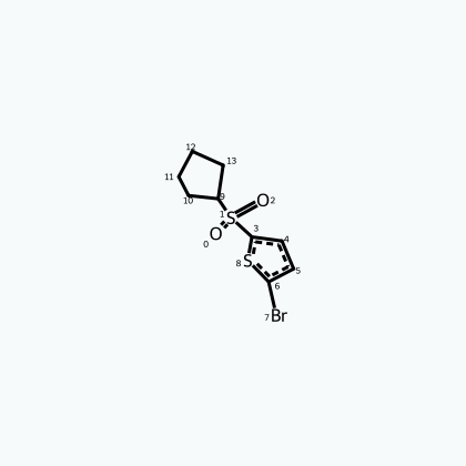 O=S(=O)(c1ccc(Br)s1)C1CCCC1